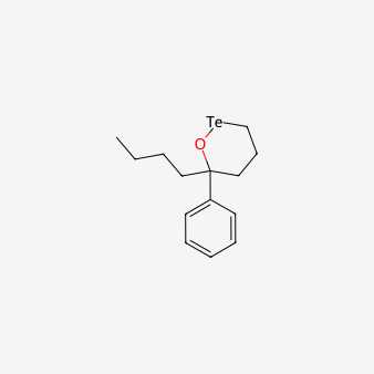 CCCCC1(c2ccccc2)CCC[Te]O1